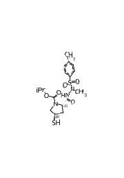 Cc1ccc(S(=O)(=O)N(C)NC(=O)[C@@H]2C[C@@H](S)CN2C(=O)OC(C)C)cc1